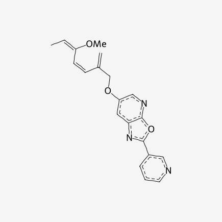 C=C(/C=C\C(=C/C)OC)COc1cnc2oc(-c3cccnc3)nc2c1